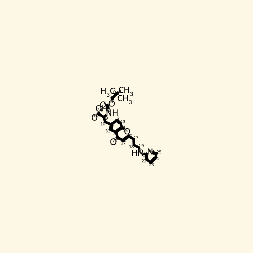 CC(C)(C)COC(=O)NC(Cc1ccc2oc(CCCNc3ccccn3)cc(=O)c2c1)C(=O)O